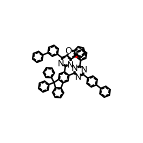 c1ccc(-c2ccc(-c3nc(-c4ccccc4)nc(-c4cc5c(cc4-c4nc(-c6cccc(-c7ccccc7)c6)c6oc7ccccc7c6n4)C(c4ccccc4)(c4ccccc4)c4ccccc4-5)n3)cc2)cc1